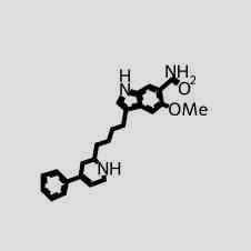 COc1cc2c(CCCCC3CC(c4ccccc4)=CCN3)c[nH]c2cc1C(N)=O